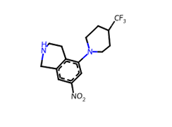 O=[N+]([O-])c1cc2c(c(N3CCC(C(F)(F)F)CC3)c1)CCNC2